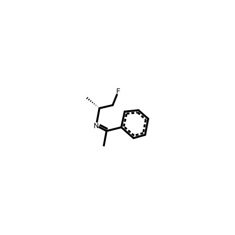 C/C(=N/[C@H](C)CF)c1ccccc1